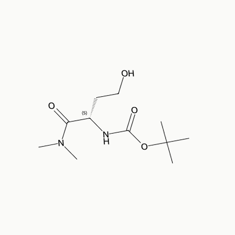 CN(C)C(=O)[C@H](CCO)NC(=O)OC(C)(C)C